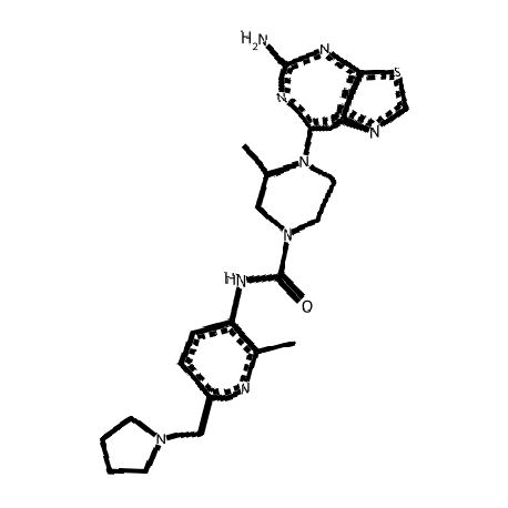 Cc1nc(CN2CCCC2)ccc1NC(=O)N1CCN(c2nc(N)nc3scnc23)C(C)C1